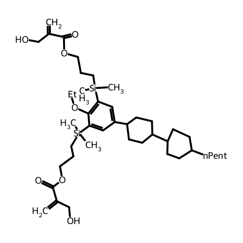 C=C(CO)C(=O)OCCC[Si](C)(C)c1cc(C2CCC(C3CCC(CCCCC)CC3)CC2)cc([Si](C)(C)CCCOC(=O)C(=C)CO)c1OCC